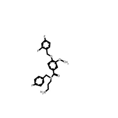 COc1cc(C(=O)N(CCCN)Cc2ccc(F)cc2)ccc1OCc1ccc(F)cc1F